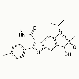 CNC(=O)c1c(-c2ccc(F)cc2)oc2cc(C(O)S(C)(=O)=O)c(OC(C)C)cc12